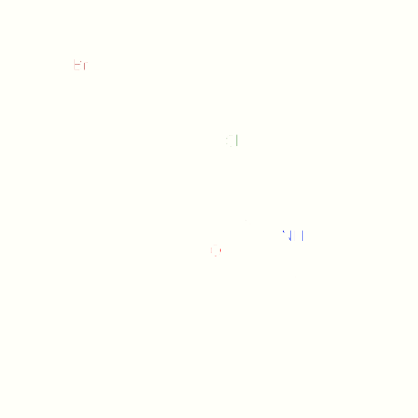 CC(Cl)(Cc1ccc(Br)cc1)C(=O)Nc1ccccc1